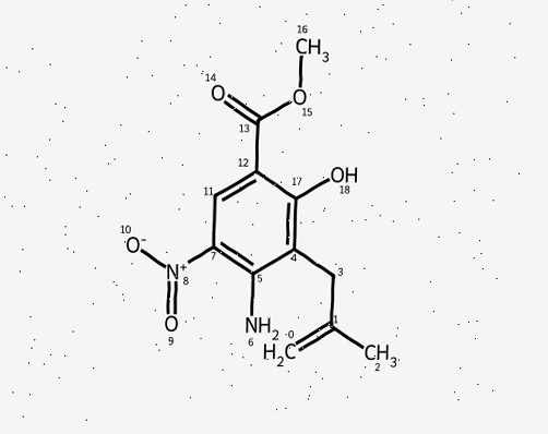 C=C(C)Cc1c(N)c([N+](=O)[O-])cc(C(=O)OC)c1O